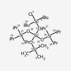 CCC(C)[Si](Cl)(O[Si](O[Si](C)(C)C)(O[Si](C(C)C)(C(C)C)C(C)C)O[Si](C(C)C)(C(C)C)C(C)C)C(C)CC